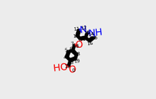 O=C(O)c1ccc(COc2ccnc3[nH]ccc23)cc1